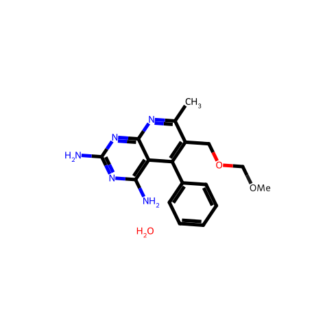 COCOCc1c(C)nc2nc(N)nc(N)c2c1-c1ccccc1.O